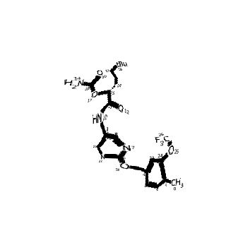 Cc1ccc(Oc2ncc(NC(=O)[C@@H](CCC(C)(C)C)OC(N)=O)cn2)cc1OC(F)(F)F